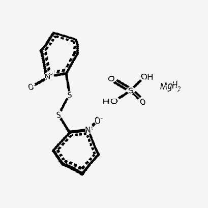 O=S(=O)(O)O.[MgH2].[O-][n+]1ccccc1SSc1cccc[n+]1[O-]